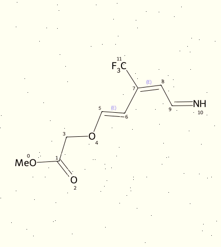 COC(=O)CO/C=C/C(=C\C=N)C(F)(F)F